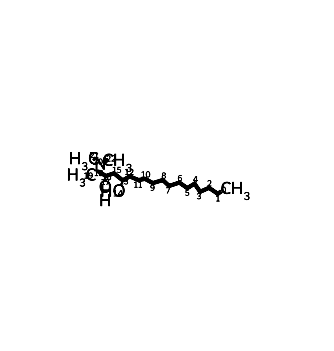 CCCCCCCCCCCCC[C@H](O)C[C@H](O)[C@@H](C)N(C)C